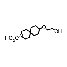 O=C(O)N1CCC2(CCC(OCCO)CC2)CC1